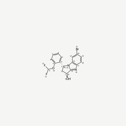 O[C@H]1C[C@H](c2ccccc2OC(F)F)n2c1nc1ccc(Br)cc12